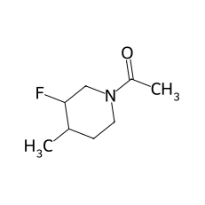 CC(=O)N1CCC(C)C(F)C1